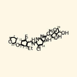 CCc1cc(OC2CCCOC2)cc(F)c1CNc1nc2nc(O[C@@H]3CO[C@H]4[C@@H]3OC[C@H]4O)[nH]c2cc1Cl